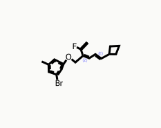 C=C(F)/C(=C\C=C\C1CCC1)COc1cc(C)cc(Br)c1